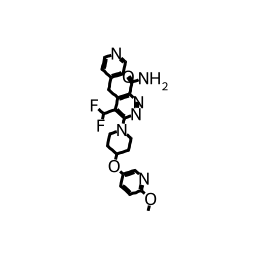 COc1ccc(OC2CCN(c3nnc(C(N)=O)c(Cc4ccncc4)c3C(F)F)CC2)cn1